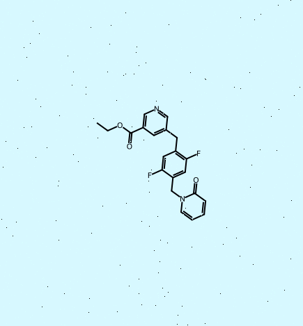 CCOC(=O)c1cncc(Cc2cc(F)c(Cn3ccccc3=O)cc2F)c1